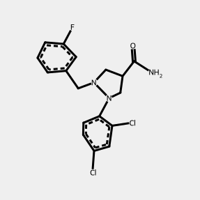 NC(=O)C1CN(Cc2cccc(F)c2)N(c2ccc(Cl)cc2Cl)C1